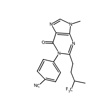 CC(CCc1nc2c(ncn2C)c(=O)n1-c1ccc(C#N)cc1)C(F)(F)F